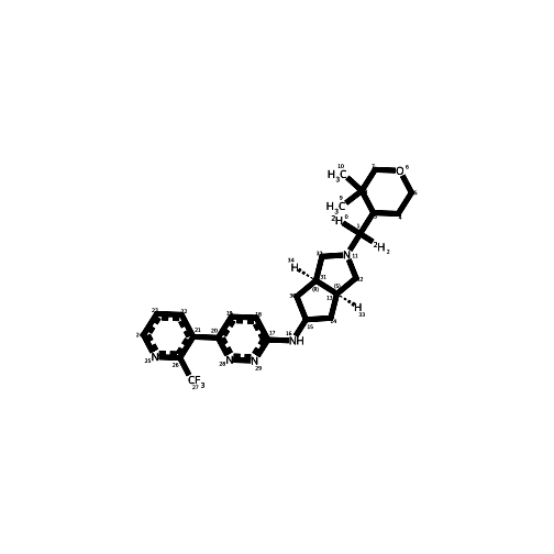 [2H]C([2H])(C1CCOCC1(C)C)N1C[C@H]2CC(Nc3ccc(-c4cccnc4C(F)(F)F)nn3)C[C@H]2C1